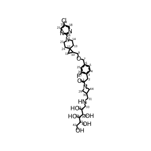 O=C(Cc1ccc(COCC2CC23CCN(c2ncc(Cl)cn2)CC3)cc1F)N1CC(CNC[C@H](O)[C@@H](O)[C@H](O)[C@H](O)CO)C1